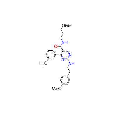 COCCCNC(=O)c1cnc(NCCc2ccc(OC)cc2)nc1-c1cccc(C)c1